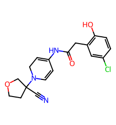 N#CC1(N2C=CC(NC(=O)Cc3cc(Cl)ccc3O)=CC2)CCOC1